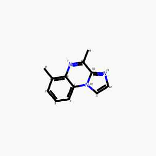 Cc1cccc2c1nc(C)c1nccn12